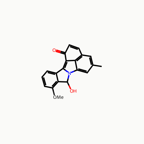 COc1cccc2c1C(O)n1c-2c2c3c(cc(C)cc31)C=CC2=O